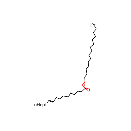 CCCCCCCC=CCCCCCCCCC(=O)OCCCCCCCCCCCCCCCC(C)C